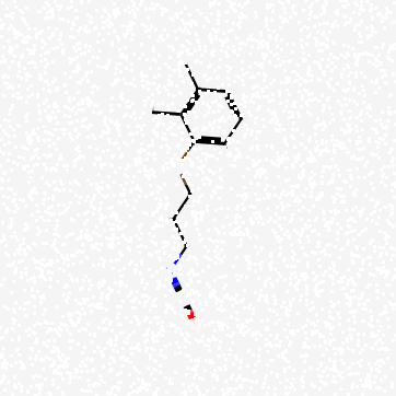 Cc1cccc(SCCCN=C=O)c1C